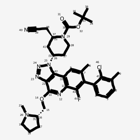 Cc1cccc(-c2c(C)cc3c(nc(OC[C@@H]4CCCN4C)c4nnn([C@H]5CCN(C(=O)OC(C)(C)C)[C@H](CC#N)C5)c43)c2F)c1Cl